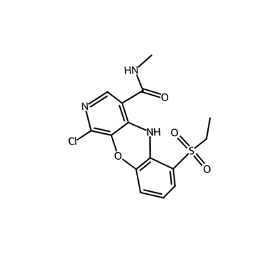 CCS(=O)(=O)c1cccc2c1Nc1c(C(=O)NC)cnc(Cl)c1O2